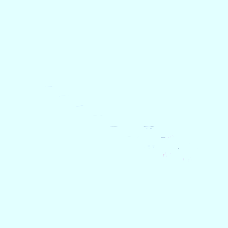 C=CC(O)(O)Oc1ccc(CCCCCCCCCCCC)cc1